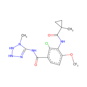 CN1NNN=C1NC(=O)c1ccc(OC(F)(F)F)c(NC(=O)C2(C)CC2)c1Cl